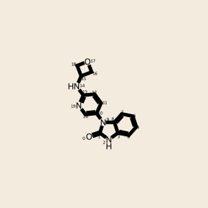 O=c1[nH]c2ccccc2n1-c1ccc(NC2COC2)nc1